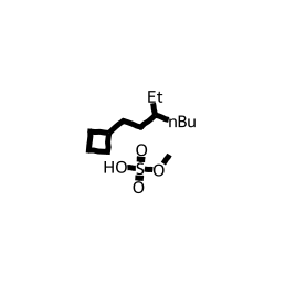 CCCCC(CC)CCC1CCC1.COS(=O)(=O)O